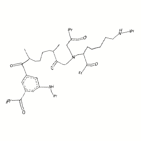 CCC(=O)C(CCCCNC(C)C)N(CC(=O)C(C)C)CC(=O)C(C)CCC(C)C(=O)c1cc(NC(C)C)cc(C(=O)C(C)C)c1